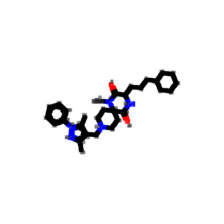 CCCCN1C(=O)C(CCCC2CCCCC2)NC(=O)C12CCN(Cc1c(C)nn(-c3ccccc3)c1C)CC2